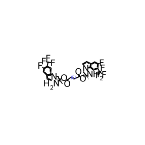 C[C@@](N)(Cn1ccc2cc(F)c(C(F)(F)F)cc21)OC(=O)/C=C/C(=O)O[C@](C)(N)Cn1ccc2cc(F)c(C(F)(F)F)cc21